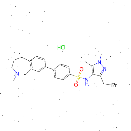 Cc1c(NS(=O)(=O)c2ccc(-c3ccc4c(c3)CN(C)CCC4)cc2)c(CC(C)C)nn1C.Cl